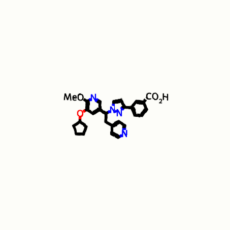 COc1ncc(C(Cc2ccncc2)n2ccc(-c3cccc(C(=O)O)c3)n2)cc1OC1CCCC1